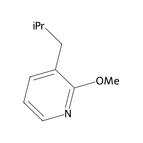 COc1ncccc1CC(C)C